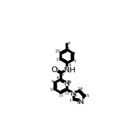 Cc1ccc(NC(=O)c2cccc(-n3ccnc3)n2)cc1